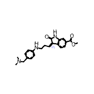 COC(=O)c1ccc2c(c1)NC(=O)/C2=C\CCNc1ccc(CN(C)C)cc1